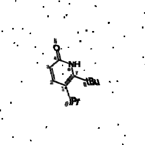 CC(C)c1ccc(=O)[nH]c1C(C)(C)C